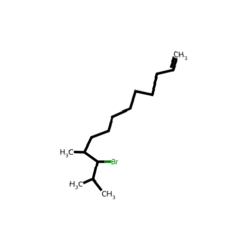 C=CCCCCCCCC(C)C(Br)C(C)C